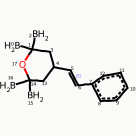 BC1(B)CC(/C=C/c2ccccc2)CC(B)(B)O1